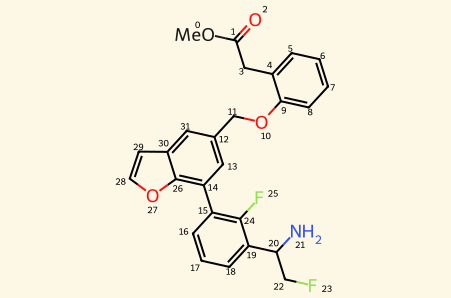 COC(=O)Cc1ccccc1OCc1cc(-c2cccc(C(N)CF)c2F)c2occc2c1